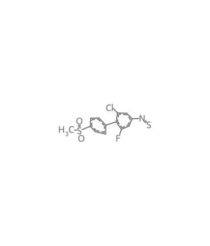 CS(=O)(=O)c1ccc(-c2c(F)cc(N=S)cc2Cl)cc1